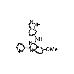 COc1ccc2nc(-c3cccnc3)nc(Nc3ccc4cn[nH]c4c3)c2c1